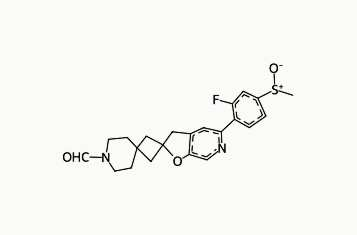 C[S+]([O-])c1ccc(-c2cc3c(cn2)OC2(C3)CC3(CCN(C=O)CC3)C2)c(F)c1